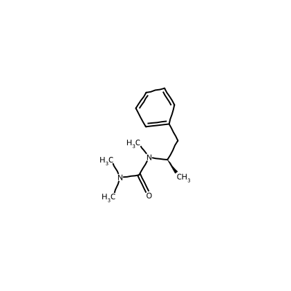 C[C@H](Cc1ccccc1)N(C)C(=O)N(C)C